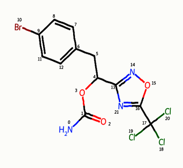 NC(=O)OC(Cc1ccc(Br)cc1)c1noc(C(Cl)(Cl)Cl)n1